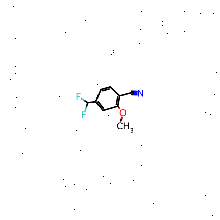 COc1cc(C(F)F)ccc1C#N